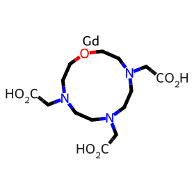 O=C(O)CN1CCOCCN(CC(=O)O)CCN(CC(=O)O)CC1.[Gd]